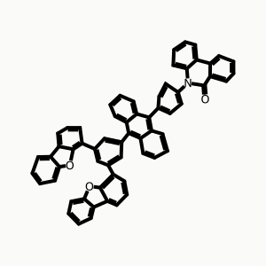 O=c1c2ccccc2c2ccccc2n1-c1ccc(-c2c3ccccc3c(-c3cc(-c4cccc5c4oc4ccccc45)cc(-c4cccc5c4oc4ccccc45)c3)c3ccccc23)cc1